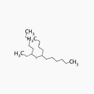 CCCCCCC([CH]C(CC)CCCCC)CCCC